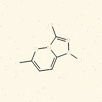 CN1N=C(Cl)N2NC(Cl)=CC=C12.I